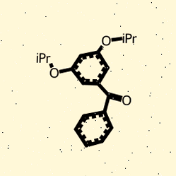 CC(C)Oc1cc(OC(C)C)cc(C(=O)c2ccccc2)c1